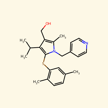 Cc1ccc(C)c(Sc2c(C(C)C)c(CO)c(C)n2Cc2ccncc2)c1